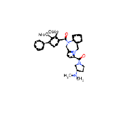 COc1c(C(=O)N2Cc3ccc(C(=O)N4CC[C@@H](N(C)C)C4)n3Cc3ccccc32)ccc(-c2ccccc2)c1OC